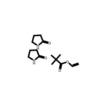 C=COC(=O)C(C)(C)C.O=C1CCCN1.O=C1CCCN1